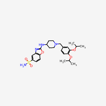 CC(C)Oc1ccc(CN2CCC(Nc3nc4cc(S(N)(=O)=O)ccc4o3)CC2)cc1OC(C)C